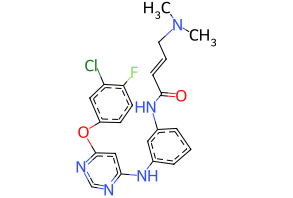 CN(C)CC=CC(=O)Nc1cccc(Nc2cc(Oc3ccc(F)c(Cl)c3)ncn2)c1